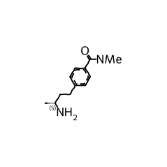 CNC(=O)c1ccc(CC[C@H](C)N)cc1